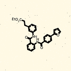 CCOC(=O)CCc1cccc(NC(=O)c2ccccc2NC(=O)c2ccc(-c3ccco3)cc2)c1